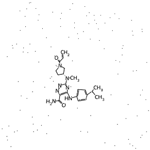 C=CC(=O)N1CC[C@@H](N(C)c2nnc(C(N)=O)c(Nc3ccc(C(C)C)cc3)n2)C1